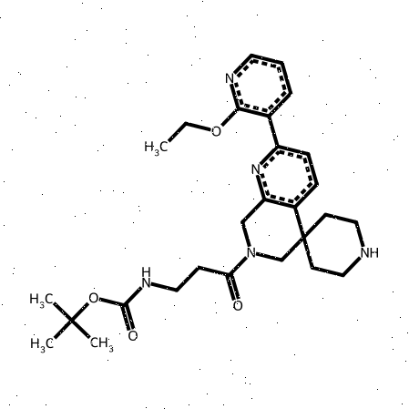 CCOc1ncccc1-c1ccc2c(n1)CN(C(=O)CCNC(=O)OC(C)(C)C)CC21CCNCC1